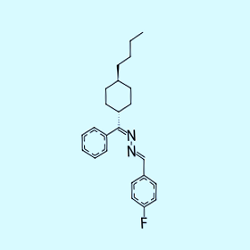 CCCC[C@H]1CC[C@H](C(=NN=Cc2ccc(F)cc2)c2ccccc2)CC1